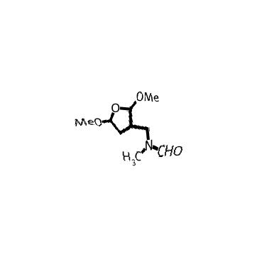 COC1CC(CN(C)C=O)C(OC)O1